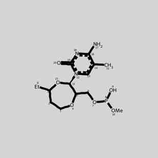 CCC1CCOC(COP(O)OC)[C@H](n2cc(C)c(N)nc2=O)O1